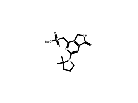 COS(=O)(=O)Cc1nc(N2CCCC2(C)C)cc2c1CNC2=O